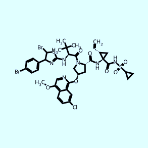 C=C[C@@H]1C[C@]1(NC(=O)[C@@H]1C[C@@H](Oc2ncc(OC)c3ccc(Cl)cc23)CN1C(=O)[C@@H](NC1=NC(c2ccc(Br)cc2)C(Br)S1)C(C)(C)C)C(=O)NS(=O)(=O)C1CC1